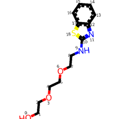 OCCOCCOCCNc1nc2ccccc2s1